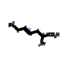 CC(C)C/C=C/CC(C(=O)O)C(C)C